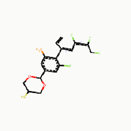 C=C/C(=C\C(F)=C(\F)CF)c1c(F)cc(C2OCC(S)CO2)cc1P